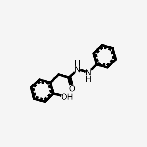 O=C(Cc1ccccc1O)NNc1ccccc1